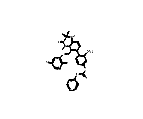 COc1cc(OC(=O)Oc2ccccc2)ccc1-c1ccc2c(c1COc1cc(F)ccc1C)N(C)C(=O)C(C)(C)N2